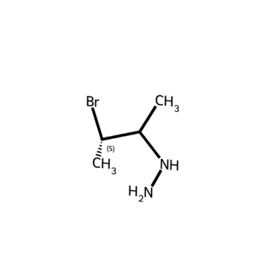 CC(NN)[C@H](C)Br